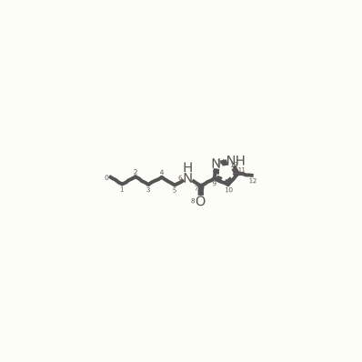 CCCCCCNC(=O)c1cc(C)[nH]n1